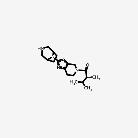 CC(C)[C@H](C)C(=O)N1CCc2nc(N3C4CCC3CNC4)sc2C1